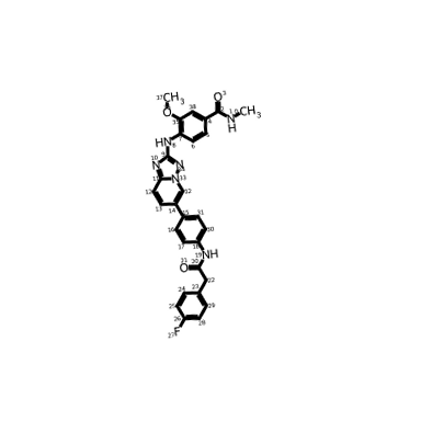 CNC(=O)c1ccc(Nc2nc3ccc(-c4ccc(NC(=O)Cc5ccc(F)cc5)cc4)cn3n2)c(OC)c1